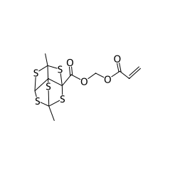 C=CC(=O)OCOC(=O)C12CC3SC(C)(SC(C)(S3)S1)S2